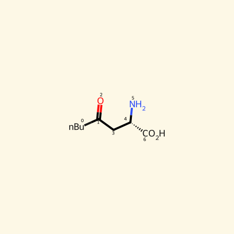 CCCCC(=O)C[C@H](N)C(=O)O